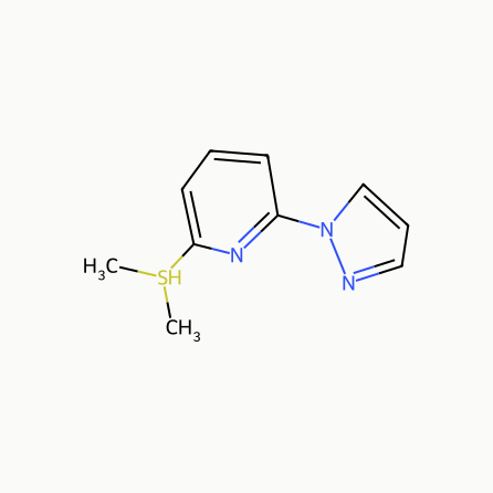 C[SH](C)c1cccc(-n2cccn2)n1